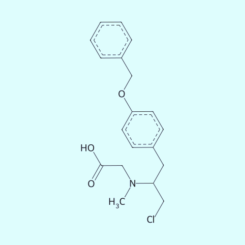 CN(CC(=O)O)C(CCl)Cc1ccc(OCc2ccccc2)cc1